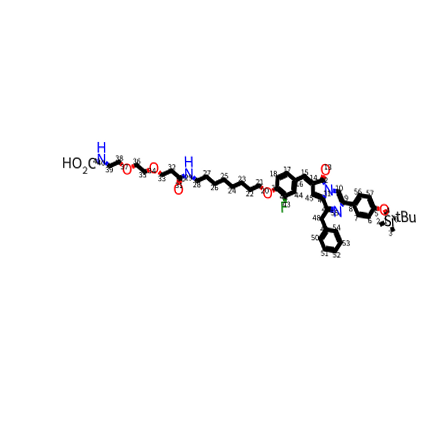 CC(C)(C)[Si](C)(C)Oc1ccc(C2=CN3C(=O)/C(=C/c4ccc(OCCCCCCCCNC(=O)CCOCCOCCNC(=O)O)c(F)c4)C=C3C(Cc3ccccc3)=N2)cc1